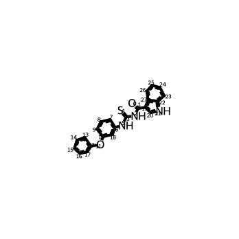 O=C(NC(=S)Nc1cccc(Oc2ccccc2)c1)c1c[nH]c2ccccc12